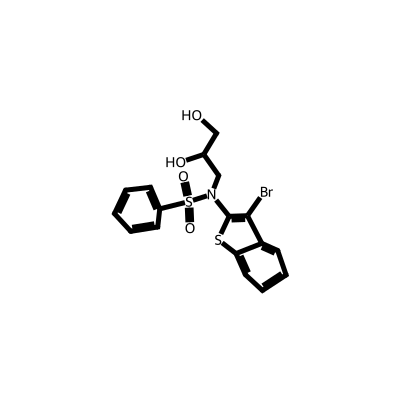 O=S(=O)(c1ccccc1)N(CC(O)CO)c1sc2ccccc2c1Br